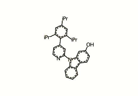 CC(C)c1cc(C(C)C)c(-c2ccnc(-n3c4ccccc4c4ccc(O)cc43)c2)c(C(C)C)c1